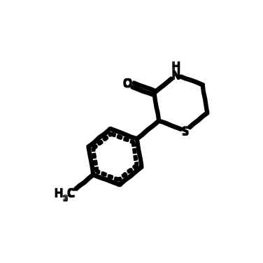 Cc1ccc(C2SCCNC2=O)cc1